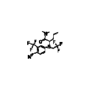 CCCC(C(=O)N(C)C)N(CC(F)(F)F)c1ccc(C#N)c(C(F)(F)F)c1